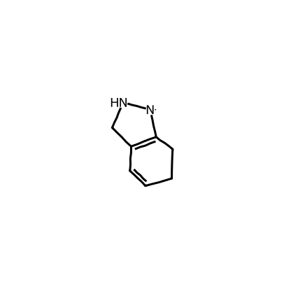 C1=CC2=C(CC1)[N]NC2